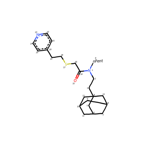 CCCCCN(CCC12CC3CC(CC(C3)C1)C2)C(=O)CSCCc1ccncc1